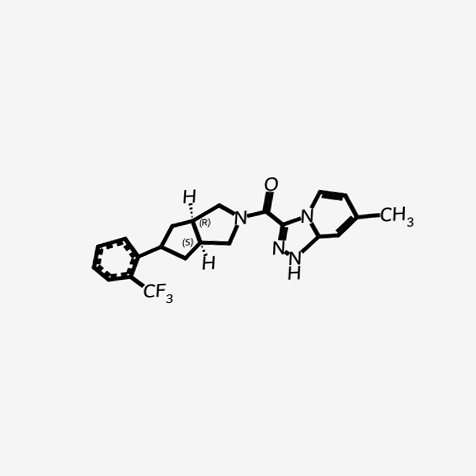 CC1=CC2NN=C(C(=O)N3C[C@H]4CC(c5ccccc5C(F)(F)F)C[C@H]4C3)N2C=C1